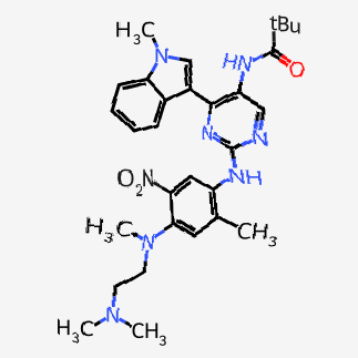 Cc1cc(N(C)CCN(C)C)c([N+](=O)[O-])cc1Nc1ncc(NC(=O)C(C)(C)C)c(-c2cn(C)c3ccccc23)n1